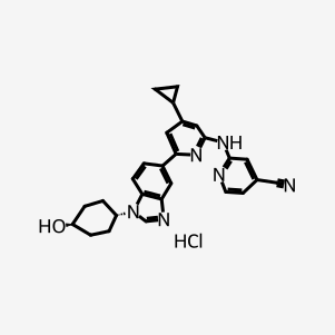 Cl.N#Cc1ccnc(Nc2cc(C3CC3)cc(-c3ccc4c(c3)ncn4[C@H]3CC[C@H](O)CC3)n2)c1